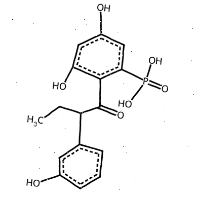 CCC(C(=O)c1c(O)cc(O)cc1P(=O)(O)O)c1cccc(O)c1